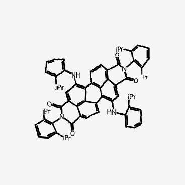 CC(C)c1ccccc1Nc1cc2c3c(ccc4c5c(Nc6ccccc6C(C)C)cc6c7c(ccc(c1c34)c75)C(=O)N(c1c(C(C)C)cccc1C(C)C)C6=O)C(=O)N(c1c(C(C)C)cccc1C(C)C)C2=O